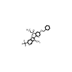 CCS(=O)(=O)c1cc(OCc2ccccc2)cnc1-c1nc2cc(C(F)(F)F)ncc2n1C